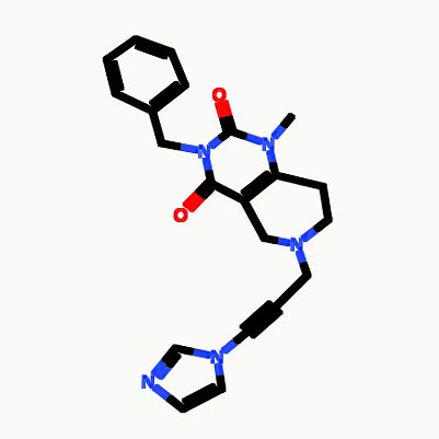 Cn1c2c(c(=O)n(Cc3ccccc3)c1=O)CN(CC#Cn1ccnc1)CC2